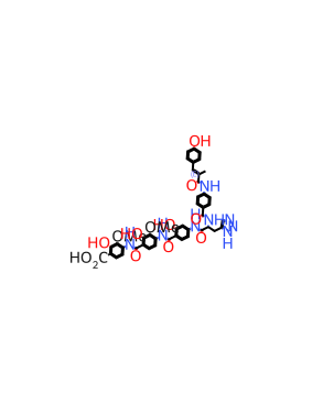 COc1c(NC(=O)c2ccc(NC(=O)c3ccc(NC(=O)C(Cc4cnn[nH]4)NC(=O)c4ccc(NC(=O)/C(C)=C/c5ccc(O)cc5)cc4)cc3O)c(OC)c2O)ccc(C(=O)O)c1O